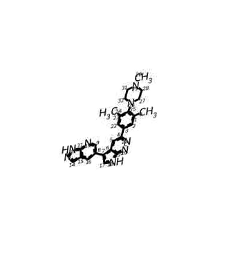 Cc1cc(-c2cc3c(-c4cnc5[nH]ncc5c4)c[nH]c3nn2)cc(C)c1N1CCN(C)CC1